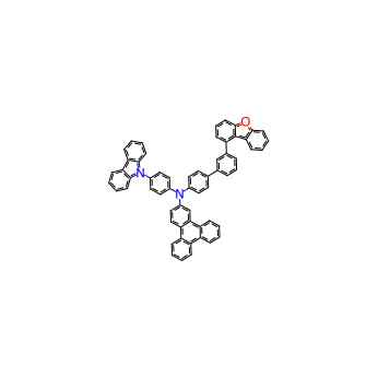 c1cc(-c2ccc(N(c3ccc(-n4c5ccccc5c5ccccc54)cc3)c3ccc4c5ccccc5c5ccccc5c4c3)cc2)cc(-c2cccc3oc4ccccc4c23)c1